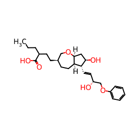 CCCC(CC[C@@H]1CC[C@@H]2[C@@H](/C=C/[C@@H](O)COc3ccccc3)[C@H](O)C[C@@H]2OC1)C(=O)O